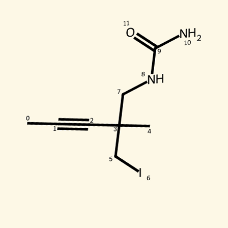 CC#CC(C)(CI)CNC(N)=O